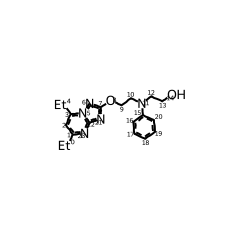 CCc1cc(CC)n2nc(OCCN(CCO)c3ccccc3)nc2n1